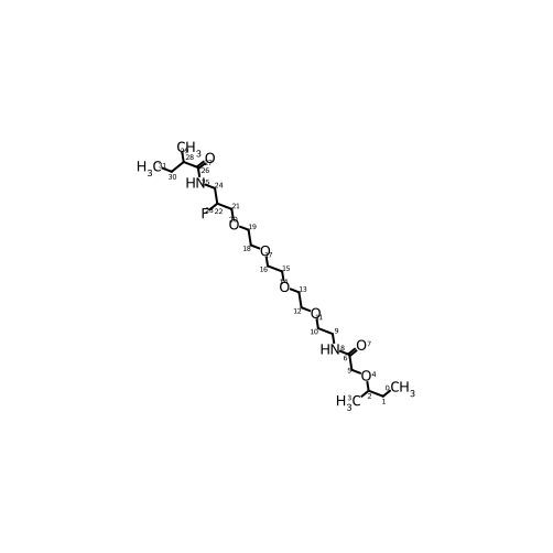 CCC(C)OCC(=O)NCCOCCOCCOCCOCC(F)CNC(=O)C(C)CC